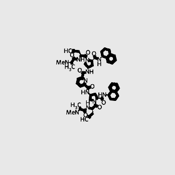 C#CC[C@H](NC(=O)[C@H](C)NC)C(=O)N1C[C@@H](NC(=O)c2cccc(C(=O)N[C@H]3C[C@@H](C(=O)N[C@@H]4CCCc5ccccc54)N(C(=O)[C@H](CC#C)NC(=O)[C@H](C)NC)C3)n2)C[C@H]1C(=O)N[C@@H]1CCCc2ccccc21